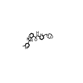 Cc1cc(-c2nc3c(C(=O)Nc4cccc(CN5CCOCC5)n4)cccn3n2)ccn1